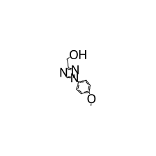 COc1ccc(-n2cnc(CO)n2)cc1